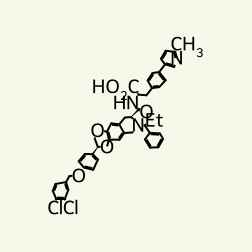 CC[C@@H](c1ccccc1)N1Cc2cc3c(cc2C[C@H]1C(=O)N[C@@H](Cc1ccc(-c2ccc(C)nc2)cc1)C(=O)O)OC[C@H](c1ccc(OCc2ccc(Cl)c(Cl)c2)cc1)O3